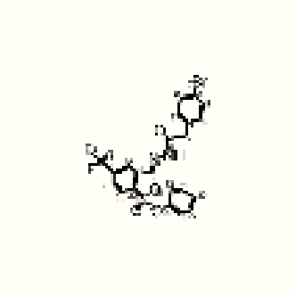 O=C(Cc1ccc(Br)cc1)NN=Cc1cc(C(F)(F)F)ccc1S(=O)(=O)Oc1ccccc1